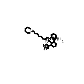 Cn1cc(-c2cccc(C(N)=O)c2-c2nc(CCCCCCN3CCCCCC3)cn2-c2ccccc2)cn1